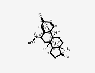 CCCN[C@@H]1C[C@@H]2[C@H](CC[C@]3(C)C(=O)CC[C@@H]23)[C@@]2(C)C=CC(=O)C=C12